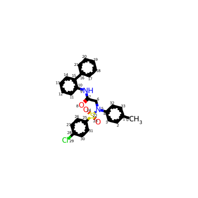 Cc1ccc(N(CC(=O)Nc2ccccc2-c2ccccc2)S(=O)(=O)c2ccc(Cl)cc2)cc1